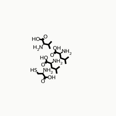 CC(C)C[C@H](N)C(=O)O.CC(C)C[C@H](N)C(=O)O.CC(C)[C@H](N)C(=O)O.N[C@@H](CS)C(=O)O